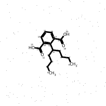 CCCCC(CCCC)c1c(C(=O)O)cccc1C(=O)O